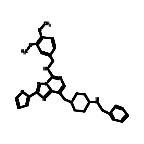 COc1ccc(CNc2ncc(CN3CCC(NCc4ccccc4)CC3)c3nc(-c4ccco4)nn23)cc1OC